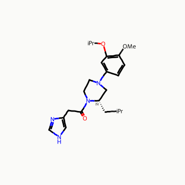 COc1ccc(N2CCN(C(=O)Cc3c[nH]cn3)[C@@H](CC(C)C)C2)cc1OC(C)C